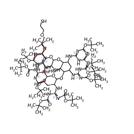 CC(C)(C)OC(=O)/N=C(/NCC1OC(OC2C(N/C(=N/C(=O)OC(C)(C)C)NC(=O)OC(C)(C)C)CC(N/C(=N/C(=O)OC(C)(C)C)NC(=O)OC(C)(C)C)C(OC3OC(CSCCOCCS)C(O)C(N/C(=N\C(=O)OC(C)(C)C)NC(=O)OC(C)(C)C)C3O)C2O)C(N/C(=N\C(=O)OC(C)(C)C)NC(=O)OC(C)(C)C)CC1O)NC(=O)OC(C)(C)C